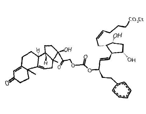 CCOC(=O)CCC/C=C\C[C@H]1[C@H](/C=C/[C@@H](CCc2ccccc2)OC(=O)OCC(=O)[C@@]2(O)CC[C@H]3[C@@H]4CCC5=CC(=O)CCC5(C)C4=CCC32C)[C@@H](O)C[C@H]1O